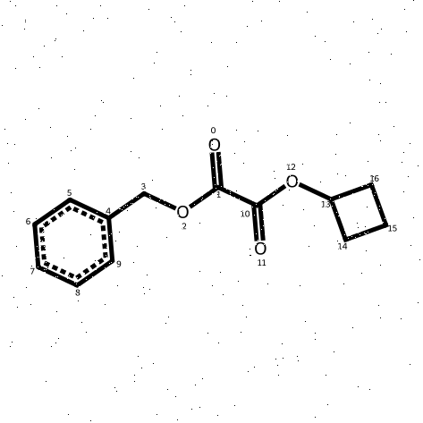 O=C(OCc1ccccc1)C(=O)OC1CCC1